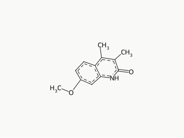 COc1ccc2c(C)c(C)c(=O)[nH]c2c1